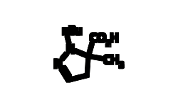 CCCCN1N=CCC1(C)C(=O)O